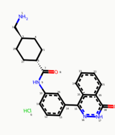 Cl.NC[C@H]1CC[C@H](C(=O)Nc2cccc(-c3n[nH]c(=O)c4ccccc34)c2)CC1